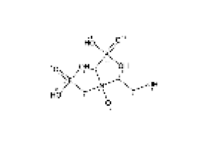 O=P(O)(O)C[N+]([O-])(CCO)CP(=O)(O)O